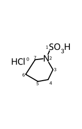 Cl.O=S(=O)(O)N1CCCCC1